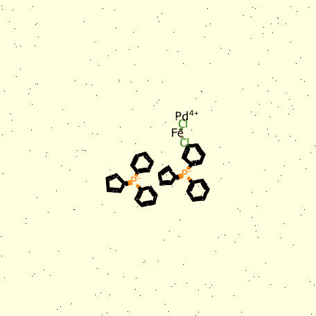 C1=CC(=[P-](c2ccccc2)c2ccccc2)C=C1.C1=CC(=[P-](c2ccccc2)c2ccccc2)C=C1.[Cl][Fe][Cl].[Pd+4]